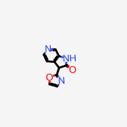 O=C1Nc2cnccc2C1c1ncco1